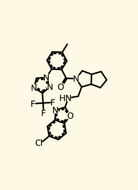 Cc1ccc(-n2cnc(C(F)(F)F)n2)c(C(=O)N2CC3CCCC3C2CNc2nc3cc(Cl)ccc3o2)c1